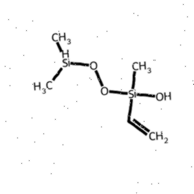 C=C[Si](C)(O)OO[SiH](C)C